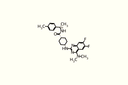 Cc1ccc([C@H](C)NC(=O)[C@H]2CC[C@@H](Nc3nc(N(C)C)c4cc(F)c(F)cc4n3)CC2)cc1